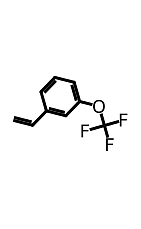 C=Cc1cccc(OC(F)(F)F)c1